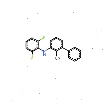 N#Cc1c(Nc2c(F)cccc2F)cccc1-c1ccccc1